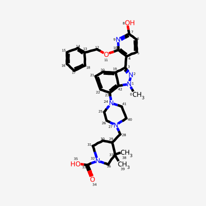 Cn1nc(-c2ccc(O)nc2OCc2ccccc2)c2cccc(N3CCN(CC4CCN(C(=O)O)CC4(C)C)CC3)c21